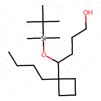 CCCCC1(C(CCCO)O[Si](C)(C)C(C)(C)C)CCC1